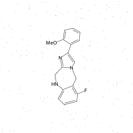 COc1ccccc1-c1cn2c(n1)CNc1cccc(F)c1C2